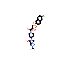 O=C([C@H](O)CS(=O)(=O)c1ccc2cc(Cl)ccc2c1)N1CCC(N2CN3CN(C(F)F)C=C3C2=O)CC1